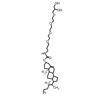 CC(C)CCC[C@H](C)C1CCC2C3CC=C4C[C@@H](OC(=O)NCCCOCCOCCOCCOCC(O)CO)CC[C@]4(C)C3CC[C@@]21C